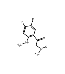 CNc1cc(F)c(F)cc1C(=O)C[S+](C)[O-]